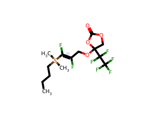 CCCCS(C)(C)/C(F)=C(\F)COC1(C(F)(F)C(F)(F)F)COC(=O)O1